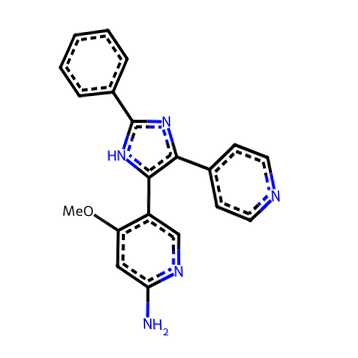 COc1cc(N)ncc1-c1[nH]c(-c2ccccc2)nc1-c1ccncc1